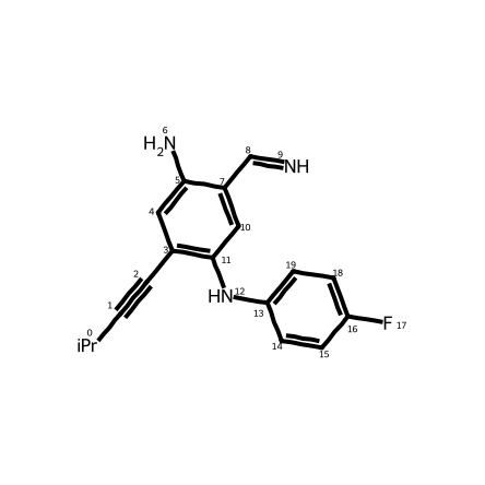 CC(C)C#Cc1cc(N)c(C=N)cc1Nc1ccc(F)cc1